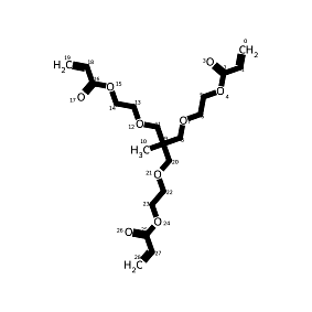 C=CC(=O)OCCOCC(C)(COCCOC(=O)C=C)COCCOC(=O)C=C